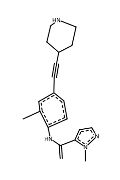 C=C(Nc1ccc(C#CC2CCNCC2)cc1C)c1ccnn1C